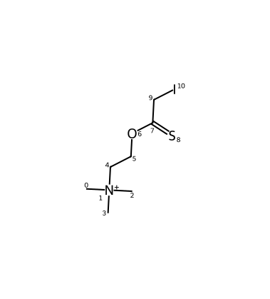 C[N+](C)(C)CCOC(=S)CI